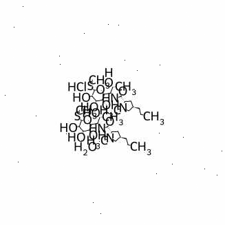 CCC[C@@H]1C[C@@H](C(=O)N[C@@H]([C@H]2O[C@H](SC)[C@H](O)[C@@H](O)[C@H]2O)[C@@H](C)O)N(C)C1.CCC[C@@H]1C[C@@H](C(=O)N[C@@H]([C@H]2O[C@H](SC)[C@H](O)[C@@H](O)[C@H]2O)[C@@H](C)O)N(C)C1.Cl.O